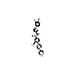 N#Cc1cc(NC(=O)c2ccn(-c3ccc(F)c(F)c3)c2)ccc1N1CCN(C2CCOCC2)CC1